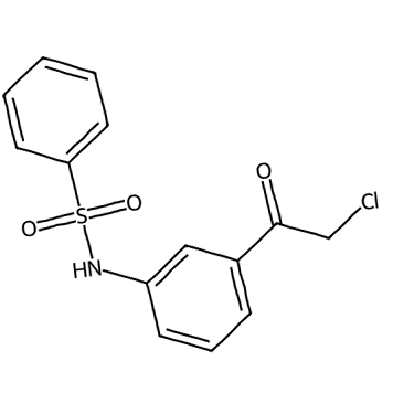 O=C(CCl)c1cccc(NS(=O)(=O)c2ccccc2)c1